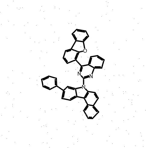 c1ccc(-c2ccc3c4c5ccccc5ccc4n(-c4nc(-c5cccc6c5oc5ccccc56)c5ccccc5n4)c3c2)cc1